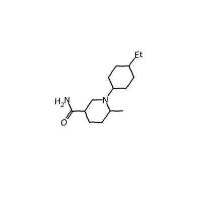 CCC1CCC(N2CC(C(N)=O)CCC2C)CC1